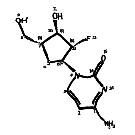 Nc1ccn([C@H]2S[C@H](CO)[C@@H](O)[C@@H]2F)c(=O)n1